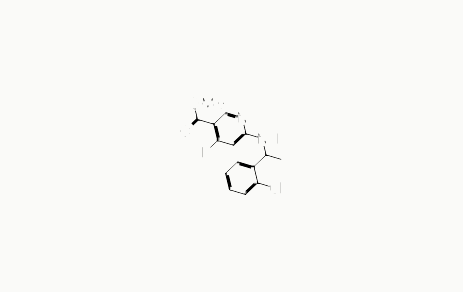 COC(=O)c1cnc(NC(C)c2ccccc2Cl)cc1F